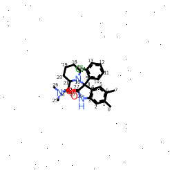 Cc1cc2c(cc1C)C(c1ccccc1Cl)(N1CCCCC1C(=O)N(C)C)C(=O)N2